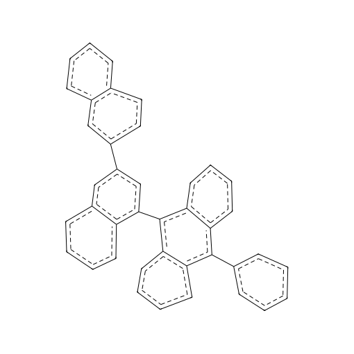 c1ccc(-c2c3ccccc3c(-c3cc(-c4ccc5ccccc5c4)cc4ccccc34)c3ccccc23)cc1